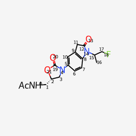 CC(=O)NC[C@H]1CN(c2ccc3c(c2)CC(=O)N3C(C)CF)C(=O)O1